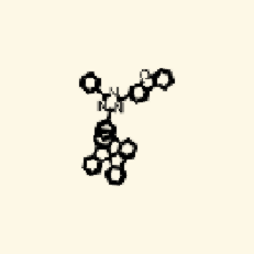 c1ccc(-c2nc(-c3cccc(-c4cccc5c4C4(c6ccccc6-c6ccccc64)c4ccccc4-5)c3)nc(-c3ccc4c(c3)oc3ccccc34)n2)cc1